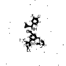 CCn1cc(-c2cc(Cn3ccsc3=N)cc(C(=O)NC(c3ccc(Cl)c(F)c3)C3CC3)c2)c(C(F)(F)F)n1